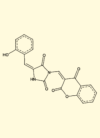 O=C1Oc2ccccc2C(=O)C1=CN1C(=O)NC(=Cc2ccccc2O)C1=O